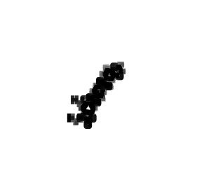 Cc1cc2c(cc1S(=O)(=O)N1CCN(S(=O)(=O)c3ccc4c(c3)OCCO4)CC1)oc(=O)n2C